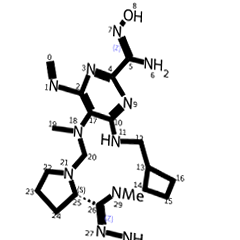 C=Nc1nc(/C(N)=N/O)nc(NCC2CCC2)c1N(C)CN1CCC[C@H]1/C(=N/N)NC